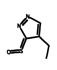 CCC1=CN=NC1=S=O